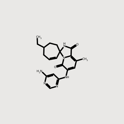 CCC1CC=CC2(CC1)NC(=O)c1c(C)cc(Nc3cc(N)ncn3)c(=O)n12